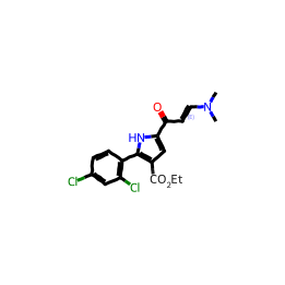 CCOC(=O)c1cc(C(=O)/C=C/N(C)C)[nH]c1-c1ccc(Cl)cc1Cl